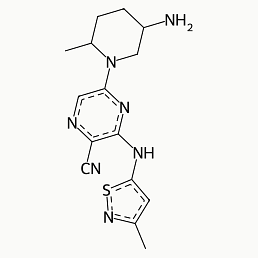 Cc1cc(Nc2nc(N3CC(N)CCC3C)cnc2C#N)sn1